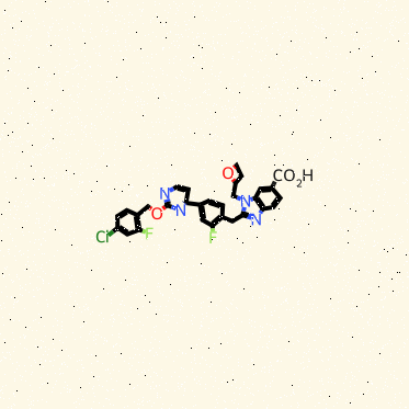 O=C(O)c1ccc2nc(Cc3ccc(-c4ccnc(OCc5ccc(Cl)cc5F)n4)cc3F)n(CC3CCO3)c2c1